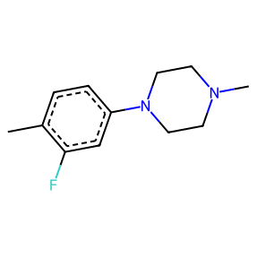 Cc1ccc(N2CCN(C)CC2)cc1F